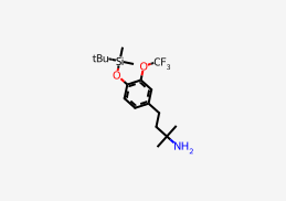 CC(C)(N)CCc1ccc(O[Si](C)(C)C(C)(C)C)c(OC(F)(F)F)c1